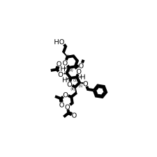 COC12CC[C@H](CCO)O[C@@H]1[C@@H](OC(C)=O)[C@@H]1O[C@H](CC(COC(C)=O)OC(C)=O)[C@H](OCc3ccccc3)[C@@H]1O2